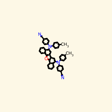 Cc1ccc(N(c2ccc(C#N)cc2)c2cc3c4cc(N(c5ccc(C)cc5)c5ccc(C#N)cc5)c5ccccc5c4oc3c3ccccc23)cc1